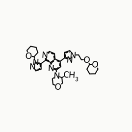 CC1COCCN1c1cc(-c2ccn(CCOC3CCCCO3)n2)c2ccnc(-c3ccnn3C3CCCCO3)c2n1